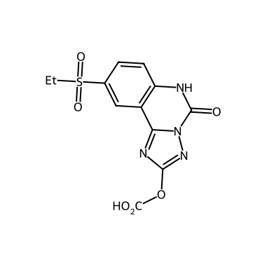 CCS(=O)(=O)c1ccc2[nH]c(=O)n3nc(OC(=O)O)nc3c2c1